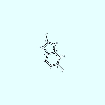 Cc1ccc2oc(C)nc2n1